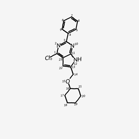 Clc1nc(-c2ccccc2)nc2[nH]c(COC3CCCCC3)cc12